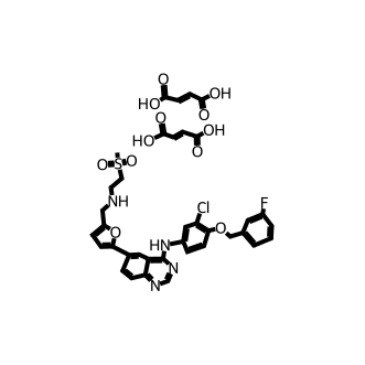 CS(=O)(=O)CCNCc1ccc(-c2ccc3ncnc(Nc4ccc(OCc5cccc(F)c5)c(Cl)c4)c3c2)o1.O=C(O)C=CC(=O)O.O=C(O)C=CC(=O)O